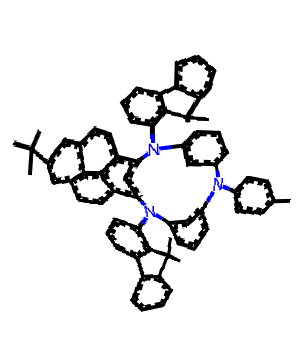 Cc1ccc(N2c3cccc(c3)N(c3cccc4c3C(C)(C)c3ccccc3-4)c3cc(c4ccc5cc(C(C)(C)C)cc6ccc3c4c65)N(c3cccc4c3C(C)(C)c3ccccc3-4)c3cccc2c3)cc1